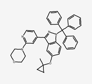 CC1(Oc2ccc3c(c2)c(-c2ccnc(N4CCOCC4)c2)nn3C(c2ccccc2)(c2ccccc2)c2ccccc2)CC1